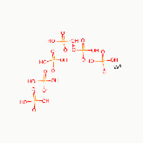 O=P([O-])(O)O.O=P([O-])(O)O.O=P([O-])(O)O.O=P([O-])(O)O.O=P([O-])(O)O.O=P([O-])(O)O.[W+6]